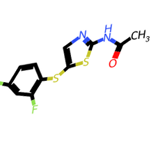 CC(=O)Nc1ncc(Sc2ccc(F)cc2F)s1